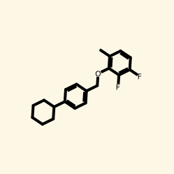 Cc1ccc(F)c(F)c1OCc1ccc(C2CCCCC2)cc1